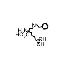 CN(CCc1ccccc1)CC[C@](N)(CCCCB(O)O)C(=O)O